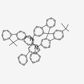 CC(C)(C)c1ccc2c(c1)C1(c3ccccc3-c3ccc(N(c4cccc(-c5ccccc5)c4)c4ccc5c(c4)C(C)(C)c4ccccc4-5)cc31)c1cc(N(c3ccccc3)c3ccccc3)ccc1-2